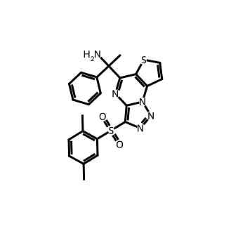 Cc1ccc(C)c(S(=O)(=O)c2nnn3c2nc(C(C)(N)c2ccccc2)c2sccc23)c1